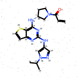 C=CC(=O)N1CC[C@@H](Nc2nc(Nc3cnn(C(C)C)c3)nc3ccsc23)C1